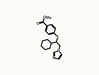 COC(=O)c1ccc(SC(Cn2ccnc2)C2CCCCC2)cc1